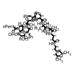 CCCCCCCC[C@@H](C(=O)N[C@@H](CC(C)C)C(=O)NC(C)(C)C(=O)N[C@@H](CC(C)C)C(=O)N[C@@H](CC(C)C)C(=O)NC(C)(C)C(=O)NC(C)(C)C(=O)NCCC(=O)NCCN1C[C@@H](C)O[C@@H](C)C1)N(C=O)[C@@H]1CCCN1C(=O)CCCCC